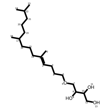 C/C(=C\CCCOCC(O)C(O)CO)CCCC(C)CCCC(C)C